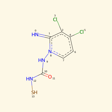 N=c1c(Cl)c(Cl)ccn1NC(=O)NS